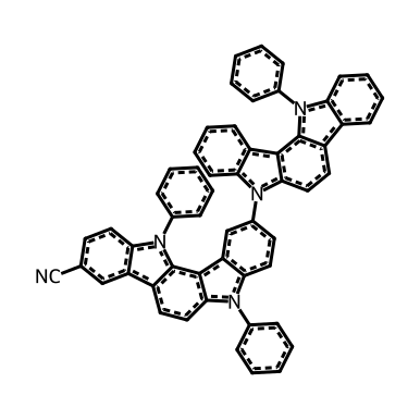 N#Cc1ccc2c(c1)c1ccc3c(c4cc(-n5c6ccccc6c6c5ccc5c7ccccc7n(-c7ccccc7)c56)ccc4n3-c3ccccc3)c1n2-c1ccccc1